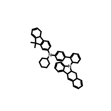 CC1(C)C2=CC=CCC2c2ccc(N(c3ccc(C4=CC=CCC4N4c5ccccc5C5C=C6C=CC=CC6CC54)cc3)C3CCCCC3)cc21